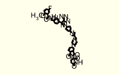 COc1ccc(F)cc1C(=O)NCc1ccc(-c2nn(-c3ccc(N4CC(CN5CCN(c6ccc7c(c6)C(=O)N([C@H]6CCC(=O)NC6=O)C7=O)CC5)C4)cc3)c3ncnc(N)c23)cc1